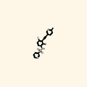 Cc1ccc(C#Cc2c(F)ccc(NS(=O)(=O)c3cccnc3)c2F)cn1